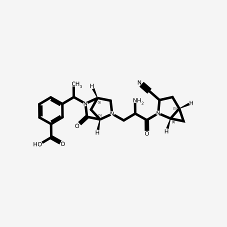 CC(c1cccc(C(=O)O)c1)N1C(=O)[C@@H]2C[C@H]1CN2CC(N)C(=O)N1C(C#N)C[C@@H]2C[C@@H]21